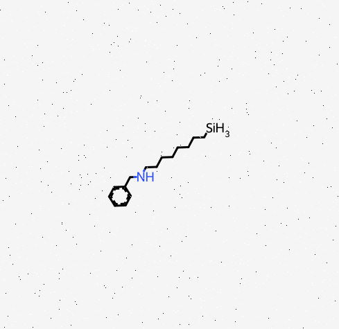 [SiH3]CCCCCCCCNCc1ccccc1